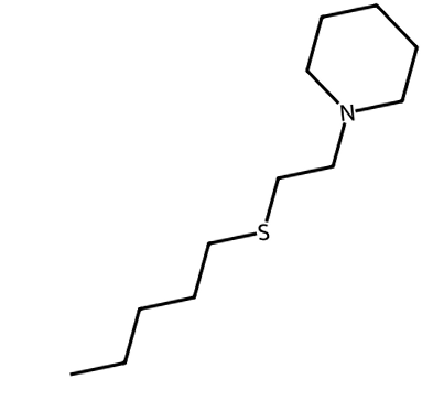 CCCCCSCCN1CCCCC1